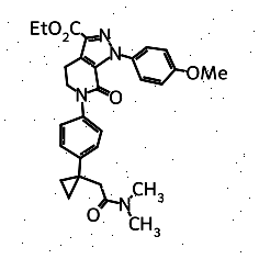 CCOC(=O)c1nn(-c2ccc(OC)cc2)c2c1CCN(c1ccc(C3(CC(=O)N(C)C)CC3)cc1)C2=O